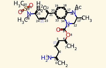 C=C(N)C/C=C\C(=C)OC(=O)N1CC(C)N(C(C)=O)c2ccc(C(=C)/C=C\C(=C)N(C)S(C)(=O)=O)cc21